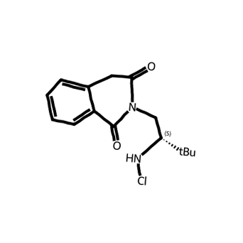 CC(C)(C)[C@@H](CN1C(=O)Cc2ccccc2C1=O)NCl